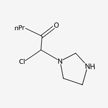 CCCC(=O)C(Cl)N1CCNC1